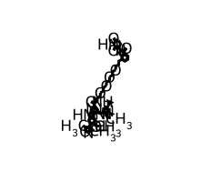 CCn1nc(C2CC2)cc1Nc1nc(C(=O)NCCOCCOCCOCCOCCCc2cccc3c2CN(C2CCC(=O)NC2=O)C3=O)nc2[nH]c3cc(-c4c(C)noc4C)c(OC)cc3c12